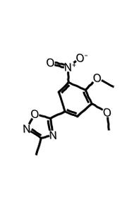 COc1cc(-c2nc(C)no2)cc([N+](=O)[O-])c1OC